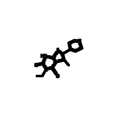 CCn1c(=O)[nH]c2sc(-c3ccncc3)c(C)c2c1=O